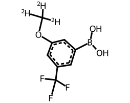 [2H]C([2H])([2H])Oc1cc(B(O)O)cc(C(F)(F)F)c1